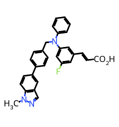 Cn1ncc2cc(-c3ccc(CN(c4ccccc4)c4cc(F)cc(/C=C/C(=O)O)c4)cc3)ccc21